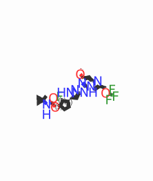 COc1cc2nc(COC(F)(F)F)cn2c(Nc2cc([C@@H]3CC[C@H](OC(=O)NC4(C)CC4)[C@@H]3F)[nH]n2)n1